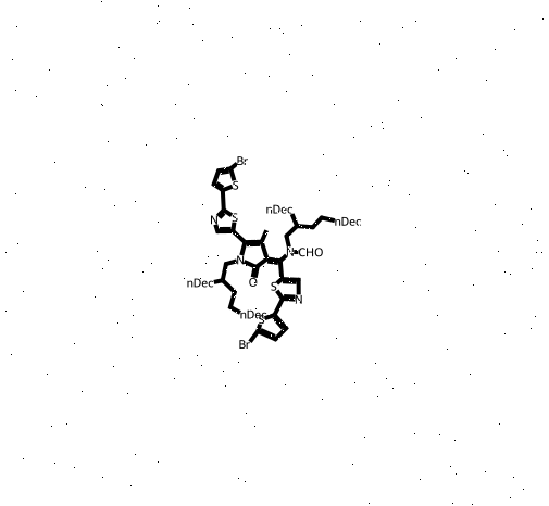 CCCCCCCCCCCCC(CCCCCCCCCC)CN1C(=O)/C(=C(\c2cnc(-c3ccc(Br)s3)s2)N(C=O)CC(CCCCCCCCCC)CCCCCCCCCCCC)C(C)=C1c1cnc(-c2ccc(Br)s2)s1